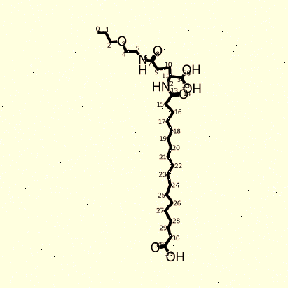 CCCOCCNC(=O)CCC(NC(=O)CCCCCCCCCCCCCCCCC(=O)O)C(O)O